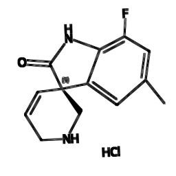 Cc1cc(F)c2c(c1)[C@]1(C=CCNC1)C(=O)N2.Cl